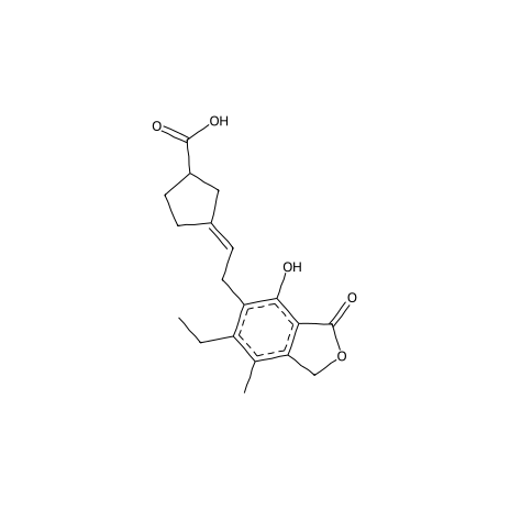 CCc1c(C)c2c(c(O)c1C/C=C1\CCC(C(=O)O)C1)C(=O)OC2